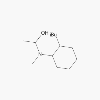 CCC(C)C1CCCCC1N(C)C(C)O